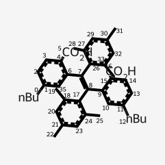 CCCCc1ccc(C(=O)O)c(C(=C(c2cc(CCCC)ccc2C(=O)O)c2c(C)cc(C)cc2C)c2c(C)cc(C)cc2C)c1